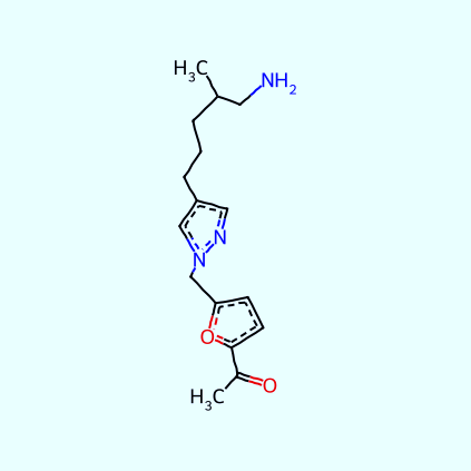 CC(=O)c1ccc(Cn2cc(CCCC(C)CN)cn2)o1